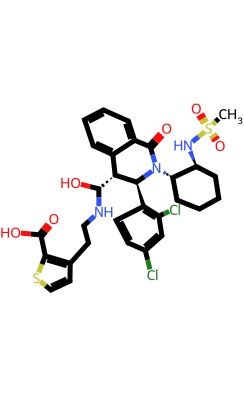 CS(=O)(=O)N[C@H]1CCCC[C@@H]1N1C(=O)c2ccccc2[C@@H](C(O)NCCc2ccsc2C(=O)O)[C@@H]1c1ccc(Cl)cc1Cl